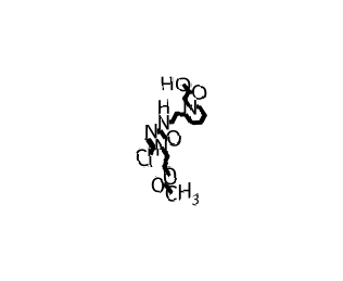 CC(=O)OCCn1c(Cl)cnc(NCCC2CCCCN2CC(=O)O)c1=O